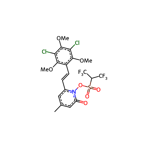 COc1c(Cl)c(OC)c(C=Cc2cc(C)cc(=O)n2OS(=O)(=O)C(C(F)(F)F)C(F)(F)F)c(OC)c1Cl